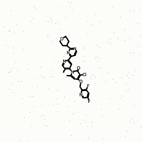 Cc1cnc(-c2ccnc(C3CCOCC3)n2)cc1-n1c(C)cc(OCc2ncc(F)cc2F)c(Cl)c1=O